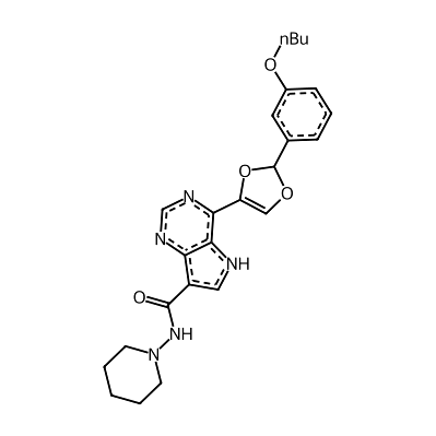 CCCCOc1cccc(C2OC=C(c3ncnc4c(C(=O)NN5CCCCC5)c[nH]c34)O2)c1